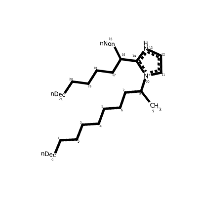 CCCCCCCCCCCCCCCCCC(C)[n+]1cc[nH]c1C(CCCCCCCCC)CCCCCCCCCCCCCC